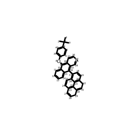 CC(C)(C)c1ccc(Oc2c3ccccc3c(-c3ccc4c5c6c(ccc35)C=CCC6=CC4)c3cnccc23)cc1